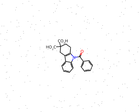 O=C(c1ccccc1)n1c2c(c3ccccc31)CC(C(=O)O)(C(=O)O)CC2